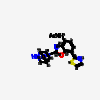 CC(=O)Nc1ccc(-c2nccs2)c2oc(N3CC4CCC(C3)NC4)nc12